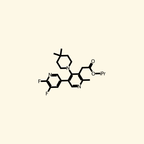 Cc1ncc(-c2cnc(F)c(F)c2)c(N2CCC(C)(C)CC2)c1CC(=O)OC(C)C